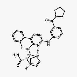 NC(=O)[C@@H]1[C@H](Nc2nc(Nc3cccc(C(=O)N4CCCC4)c3)ncc2-c2ccccc2F)[C@H]2C=C[C@@H]1C2